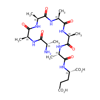 C[C@H](N)C(=O)N[C@@H](C)C(=O)N[C@@H](C)C(=O)N[C@@H](C)C(=O)N[C@@H](C)C(=O)N[C@@H](C)C(=O)N[C@@H](CCC(=O)O)C(=O)O